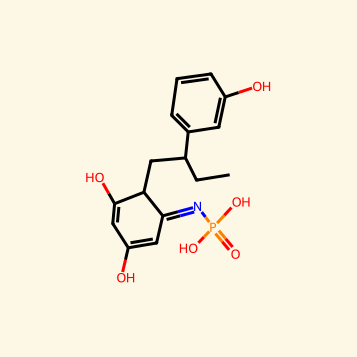 CCC(CC1C(O)=CC(O)=CC1=NP(=O)(O)O)c1cccc(O)c1